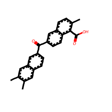 Cc1cc2ccc(C(=O)c3ccc4c(C(=O)O)c(C)ccc4c3)cc2cc1C